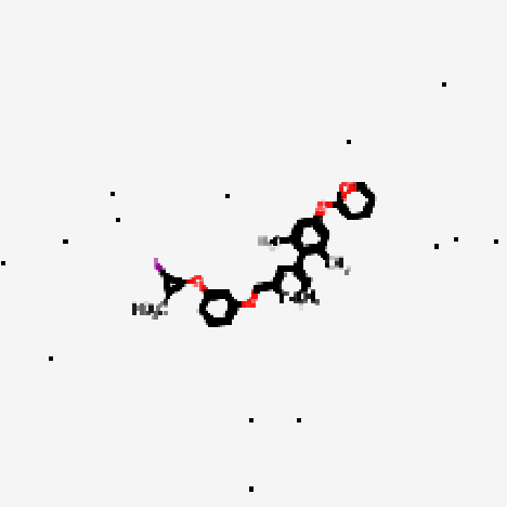 C/C=C(\C=C(/C)COC1=CCCC(O[C@@H]2[C@H](I)[C@H]2C(=O)O)=C1)c1c(C)cc(OC2CCCCO2)cc1C